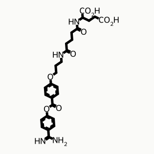 N=C(N)c1ccc(OC(=O)c2ccc(OCCCNC(=O)CCCC(=O)NC(CCC(=O)O)C(=O)O)cc2)cc1